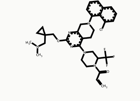 C=CC(=O)N1CCN(c2nc(OCC3(CN(C)C)CC3)nc3c2CCN(c2cccc4cccc(Cl)c24)C3)CC1C(F)(F)F